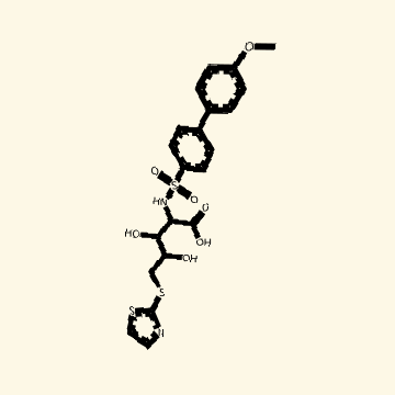 COc1ccc(-c2ccc(S(=O)(=O)NC(C(=O)O)C(O)C(O)CSc3nccs3)cc2)cc1